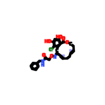 O=C(CON=C1/C=C/CC/C=C/CCOC(=O)c2c(O)cc(O)c(Cl)c2C1)NCc1ccccc1